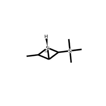 CC1C2C([Si](C)(C)C)[Si@@H]12